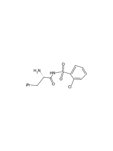 CC(C)C[C@H](N)C(=O)NS(=O)(=O)c1ccccc1Cl